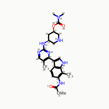 COC(=O)Nc1ccc2c(-c3nc(N[C@@H]4CNC[C@H](OC(=O)N(C)C)C4)ncc3C(F)(F)F)c[nH]c2c1C(F)(F)F